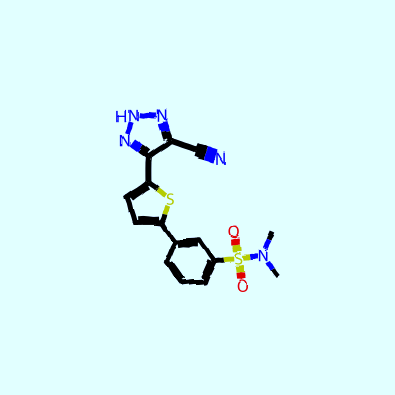 CN(C)S(=O)(=O)c1cccc(-c2ccc(-c3n[nH]nc3C#N)s2)c1